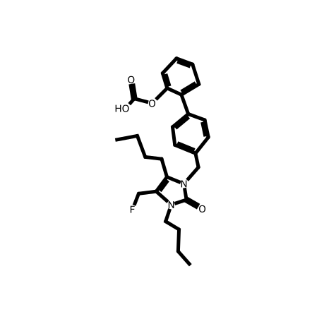 CCCCc1c(CF)n(CCCC)c(=O)n1Cc1ccc(-c2ccccc2OC(=O)O)cc1